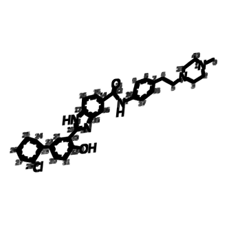 CN1CCN(CCc2ccc(NC(=O)c3ccc4[nH]c(-c5cc(-c6ccccc6Cl)ccc5O)nc4c3)cc2)CC1